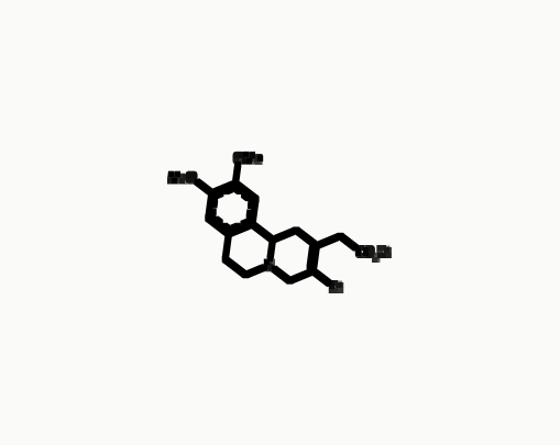 CCOC(=O)CC1=C(CC)CN2CCc3cc(OC)c(OC)cc3C2C1